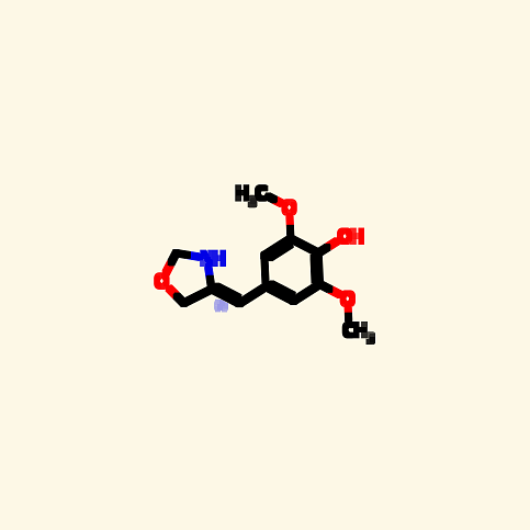 COc1cc(/C=C2/COCN2)cc(OC)c1O